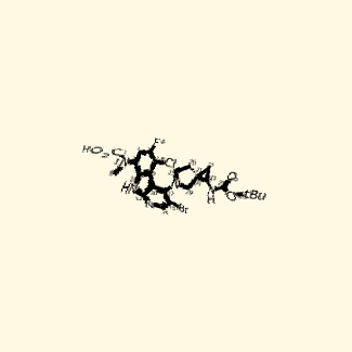 CN(C(=O)O)c1cc(F)c(Cl)c2c1[nH]c1ncc(Br)c(N3CC[C@@]4(C[C@H]4NC(=O)OC(C)(C)C)C3)c12